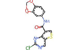 O=C(Nc1ccc2c(c1)OCO2)c1csc2cnc(Cl)nc12